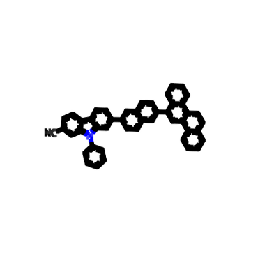 N#Cc1ccc2c3ccc(-c4ccc5cc(-c6cc7c8ccccc8ccc7c7ccccc67)ccc5c4)cc3n(-c3ccccc3)c2c1